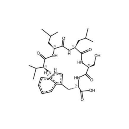 CC(C)C[C@H](NC(=O)[C@H](CC(C)C)NC(=O)[C@@H](N)C(C)C)C(=O)N[C@@H](CO)C(=O)N[C@@H](Cc1c[nH]c2ccccc12)C(=O)O